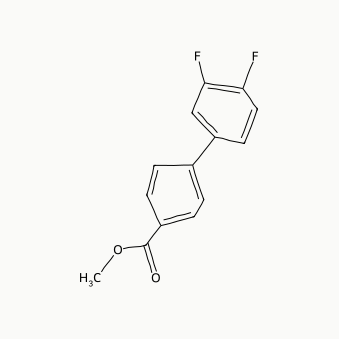 COC(=O)c1ccc(-c2ccc(F)c(F)c2)cc1